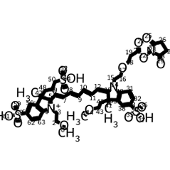 COCC[N+]1=C(/C=C/C=C/C=C/C=C2/N(CCOCCC(=O)ON3C(=O)CCC3=O)c3ccc(S(=O)(=O)O)cc3C2(C)CCOC)C(C)(CCCS(=O)(=O)O)c2cc(S(=O)(=O)O)ccc21